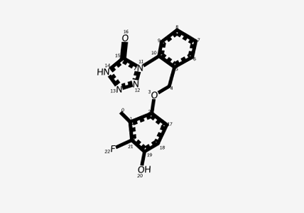 Cc1c(OCc2ccccc2-n2nn[nH]c2=O)ccc(O)c1F